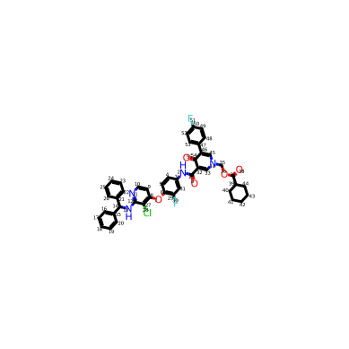 O=C(Nc1ccc(Oc2ccnc(NC(c3ccccc3)c3ccccc3)c2Cl)c(F)c1)c1cn(COC(=O)C2CCCCC2)cc(-c2ccc(F)cc2)c1=O